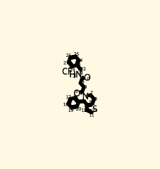 O=C(CCC(=O)N1CCc2sccc2C1c1ccccc1)NCc1ccccc1C(F)(F)F